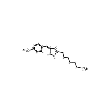 COc1ccc(C=C2ON(CCCCCCC(=O)O)OS2)cc1